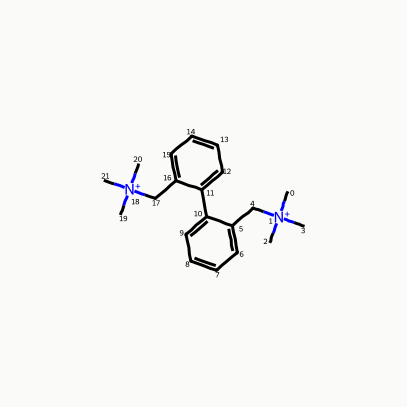 C[N+](C)(C)Cc1ccccc1-c1ccccc1C[N+](C)(C)C